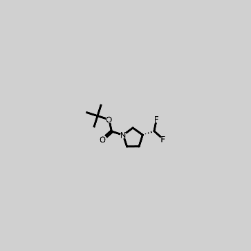 CC(C)(C)OC(=O)N1CC[C@@H](C(F)F)C1